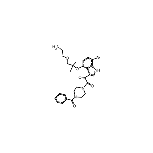 CC(C)(COCCN)Oc1ccc(Br)c2[nH]cc(C(=O)C(=O)N3CCN(C(=O)c4ccccc4)CC3)c12